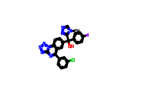 Cn1cnnc1C(O)(c1ccc(I)cc1)c1ccc2c(c1)c(-c1cccc(Cl)c1)nc1nnnn12